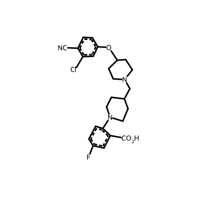 N#Cc1ccc(OC2CCN(CC3CCN(c4ccc(F)cc4C(=O)O)CC3)CC2)cc1Cl